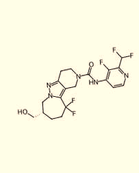 O=C(Nc1ccnc(C(F)F)c1F)N1CCc2nn3c(c2C1)C(F)(F)CC[C@H](CO)C3